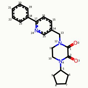 O=C1C(=O)N(C2CCCC2)CCN1Cc1ccc(-c2ccccc2)nc1